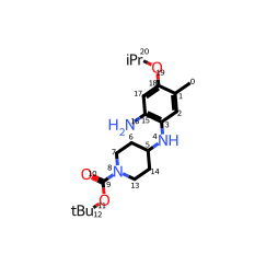 Cc1cc(NC2CCN(C(=O)OC(C)(C)C)CC2)c(N)cc1OC(C)C